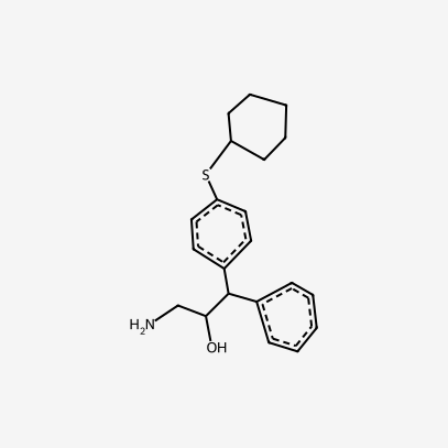 NCC(O)C(c1ccccc1)c1ccc(SC2CCCCC2)cc1